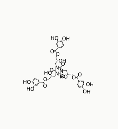 O=C(OCC(O)Cn1c(=O)n(CC(O)COC(=O)c2ccc(O)c(O)c2)c(=O)n(CC(O)COC(=O)c2ccc(O)c(O)c2)c1=O)c1ccc(O)c(O)c1